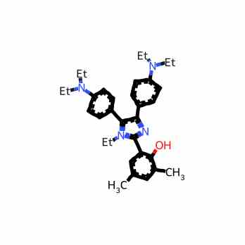 CCN(CC)c1ccc(-c2nc(-c3cc(C)cc(C)c3O)n(CC)c2-c2ccc(N(CC)CC)cc2)cc1